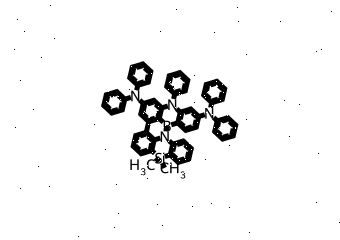 C[Si]1(C)c2ccccc2N2B3c4ccc(N(c5ccccc5)c5ccccc5)cc4N(c4ccccc4)c4cc(N(c5ccccc5)c5ccccc5)cc(c43)-c3cccc1c32